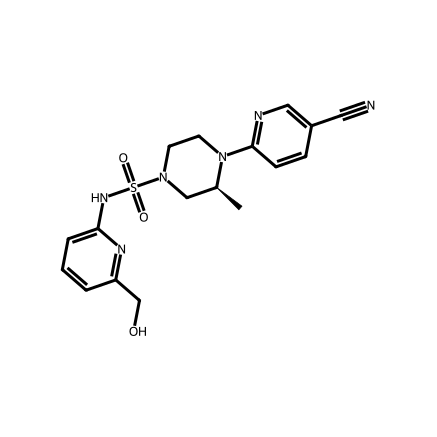 C[C@H]1CN(S(=O)(=O)Nc2cccc(CO)n2)CCN1c1ccc(C#N)cn1